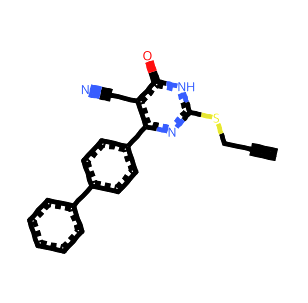 C#CCSc1nc(-c2ccc(-c3ccccc3)cc2)c(C#N)c(=O)[nH]1